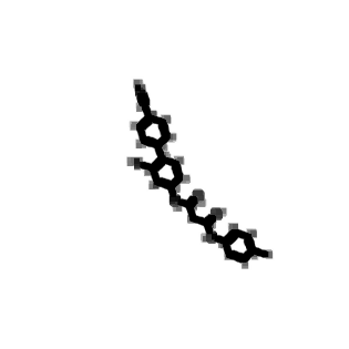 Cc1ccc(OC(=O)CC(=O)Oc2ccc(-c3ccc(C#N)cc3)c(F)c2)cc1